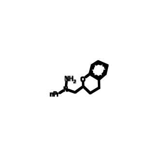 CCCN(N)CC1CCc2ccccc2O1